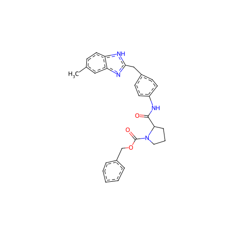 Cc1ccc2[nH]c(Cc3ccc(NC(=O)C4CCCN4C(=O)OCc4ccccc4)cc3)nc2c1